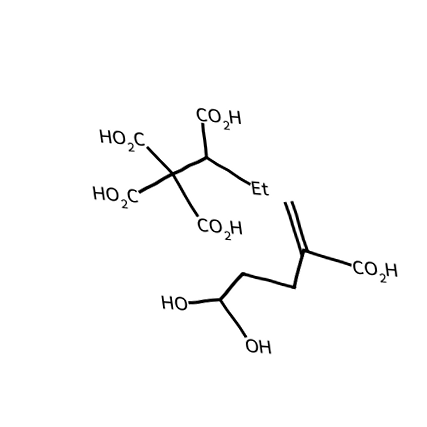 C=C(CCC(O)O)C(=O)O.CCC(C(=O)O)C(C(=O)O)(C(=O)O)C(=O)O